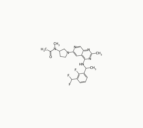 CC(=O)N(C)C1CCN(c2cc3c(NC(C)c4cccc(C(F)F)c4F)nc(C)nc3cn2)C1